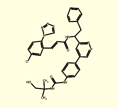 CC(C)(CO)NC(=O)Nc1ccc(-c2cnnc(C(Cc3ccccc3)NC(=O)/C=C/c3cc(Cl)ccc3-n3cnnn3)c2)cc1